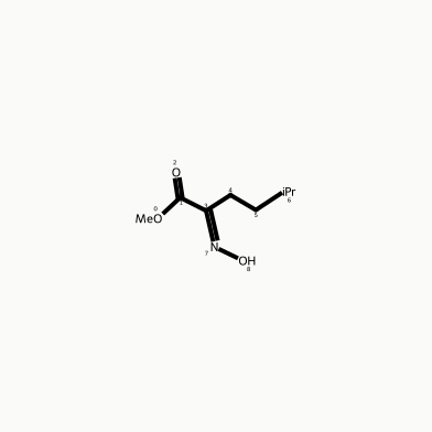 COC(=O)C(CCC(C)C)=NO